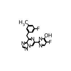 Cc1cc(F)cc(Cc2nc(-c3ncc(F)c(O)n3)cn3ncnc23)c1